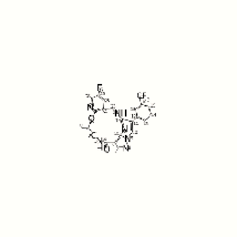 CC1CNC(=O)c2cnn3cc(-c4cccc(C(F)(F)F)c4)c(nc23)NCc2cc(F)cnc2O1